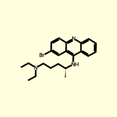 CCN(CC)CCC[C@@H](C)Nc1c2ccccc2nc2ccc(Br)cc12